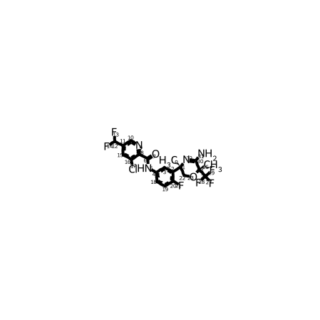 C[C@@]1(c2cc(NC(=O)c3ncc(C(F)F)cc3Cl)ccc2F)CO[C@@](C)(C(F)(F)F)C(N)=N1